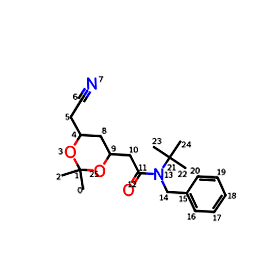 CC1(C)OC(CC#N)CC(CC(=O)N(Cc2ccccc2)C(C)(C)C)O1